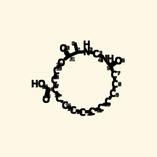 CC1NCNC(=O)CCCCCCCCCCCCCOC1=O.O=CO